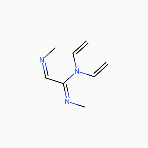 C=CN(C=C)C(/C=N\C)=N\C